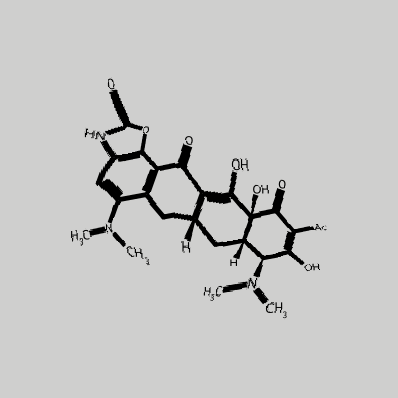 CC(=O)C1=C(O)[C@@H](N(C)C)[C@@H]2C[C@@H]3Cc4c(N(C)C)cc5[nH]c(=O)oc5c4C(=O)C3=C(O)[C@]2(O)C1=O